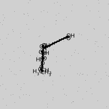 CC(C)(C)C(=O)COCCOCCNC(=O)CCCNC(=O)CC[C@H](NC(=O)CCCCCCCCCCCCCCCCCCC(=O)O)C(=O)O